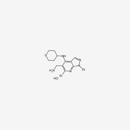 CCc1nc2c(cnn2CC)c(NC2CCOCC2)c1CN.Cl